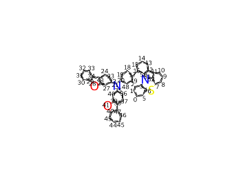 c1ccc2c(c1)Sc1cccc3c4cccc(-c5ccc(N(c6ccc7c(c6)oc6ccccc67)c6ccc7c(c6)oc6ccccc67)cc5)c4n-2c13